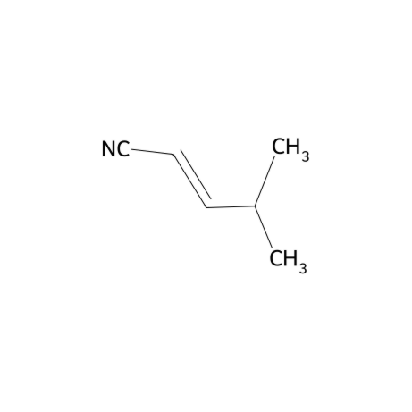 CC(C)C=CC#N